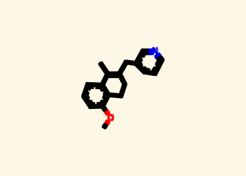 COc1cccc2c1CCC(Cc1cccnc1)=C2C